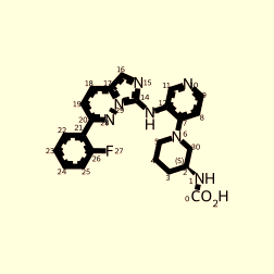 O=C(O)N[C@H]1CCCN(c2ccncc2Nc2ncc3ccc(-c4ccccc4F)nn23)C1